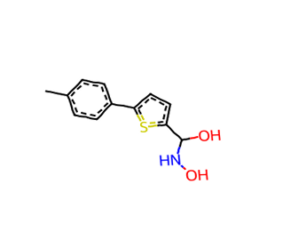 Cc1ccc(-c2ccc(C(O)NO)s2)cc1